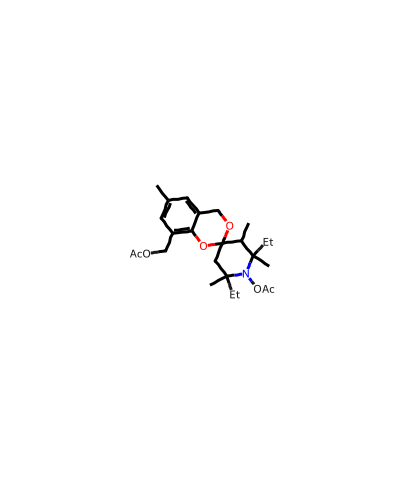 CCC1(C)CC2(OCc3cc(C)cc(COC(C)=O)c3O2)C(C)C(C)(CC)N1OC(C)=O